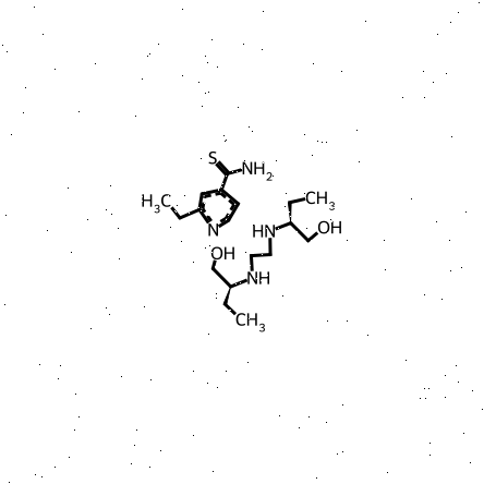 CC[C@@H](CO)NCCN[C@@H](CC)CO.CCc1cc(C(N)=S)ccn1